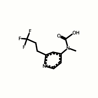 CN(C(=O)O)c1ccnc(CCC(F)(F)F)c1